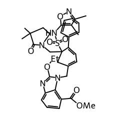 CCOc1nc2cccc(C(=O)OC)c2n1CC1=CC=C(c2ccccc2)C(CN2CCC(C)(C)C2=O)(S(=O)(=O)Nc2onc(C)c2C)C1